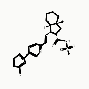 CS(=O)(=O)NC(=O)[C@H]1C[C@H]2CCCC[C@H]2[C@@H]1C=Cc1ccc(-c2cccc(F)c2)cn1